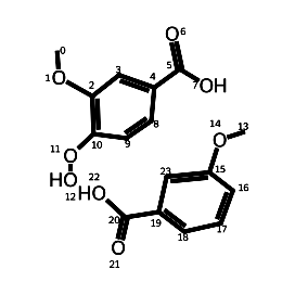 COc1cc(C(=O)O)ccc1OO.COc1cccc(C(=O)O)c1